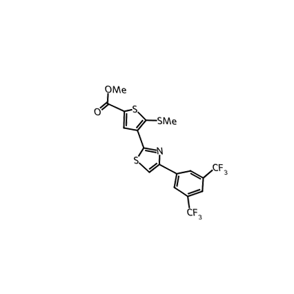 COC(=O)c1cc(-c2nc(-c3cc(C(F)(F)F)cc(C(F)(F)F)c3)cs2)c(SC)s1